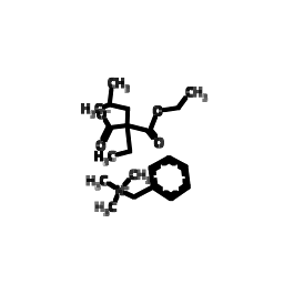 CCOC(=O)C(CC)(CC(C)C)C(=O)[O-].C[N+](C)(C)Cc1ccccc1